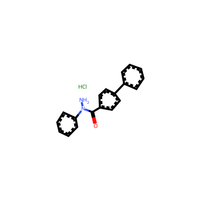 Cl.NN(C(=O)c1ccc(-c2ccccc2)cc1)c1ccccc1